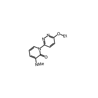 CCOc1ccc(-n2cccc(NC)c2=O)nn1